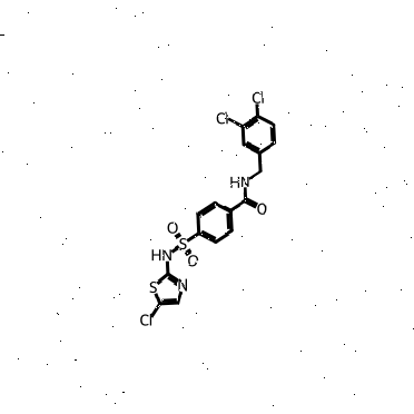 O=C(NCc1ccc(Cl)c(Cl)c1)c1ccc(S(=O)(=O)Nc2ncc(Cl)s2)cc1